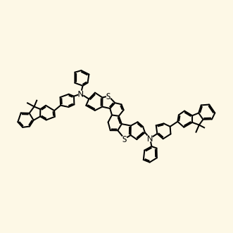 CC1(C)c2ccccc2-c2ccc(-c3ccc(N(c4ccccc4)c4ccc5c6c(sc5c4)C=CC4=c5c(sc7cc(N(C8=CCC(c9ccc%10c(c9)C(C)(C)c9ccccc9-%10)C=C8)c8ccccc8)ccc57)=CCC46)cc3)cc21